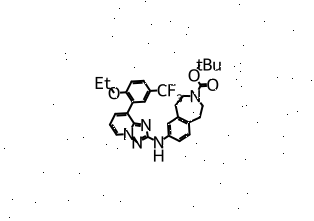 CCOc1ccc(C(F)(F)F)cc1-c1cccn2nc(Nc3ccc4c(c3)CCN(C(=O)OC(C)(C)C)CC4)nc12